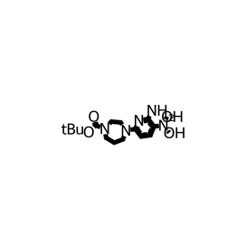 CC(C)(C)OC(=O)N1CCCN(c2ccc(N(O)O)c(N)n2)CC1